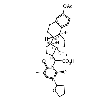 CC(=O)Oc1ccc2c(c1)CC[C@@H]1[C@@H]2CC[C@]2(C)[C@@H](C(C(=O)O)n3c(=O)c(F)cn(C4CCCO4)c3=O)CC[C@@H]12